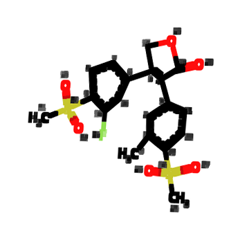 Cc1cc(C2=C(c3ccc(S(C)(=O)=O)c(F)c3)COC2=O)ccc1S(C)(=O)=O